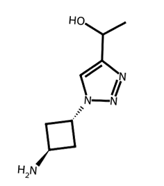 CC(O)c1cn([C@H]2C[C@H](N)C2)nn1